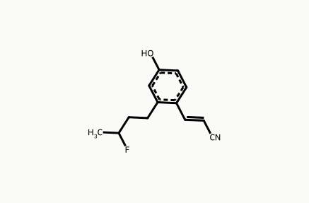 CC(F)CCc1cc(O)ccc1C=CC#N